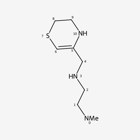 CNCCNCC1=CSCCN1